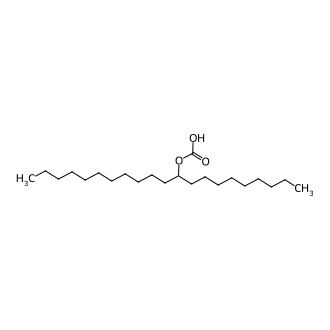 CCCCCCCCCCCC(CCCCCCCCC)OC(=O)O